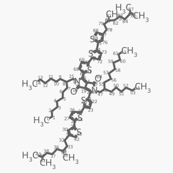 CCCCCCCCC(CCCCCC)CN1C(=O)C2=C(c3ccc(-c4ccc(-c5cc(CC[C@@H](C)CCCC(C)C)cs5)s4)s3)N(CC(CCCCCC)CCCCCCCC)C(=O)C2=C1c1ccc(-c2ccc(-c3cc(CC[C@@H](C)CCCC(C)C)cs3)s2)s1